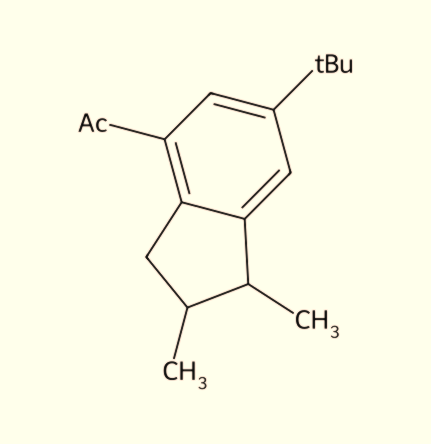 CC(=O)c1cc(C(C)(C)C)cc2c1CC(C)C2C